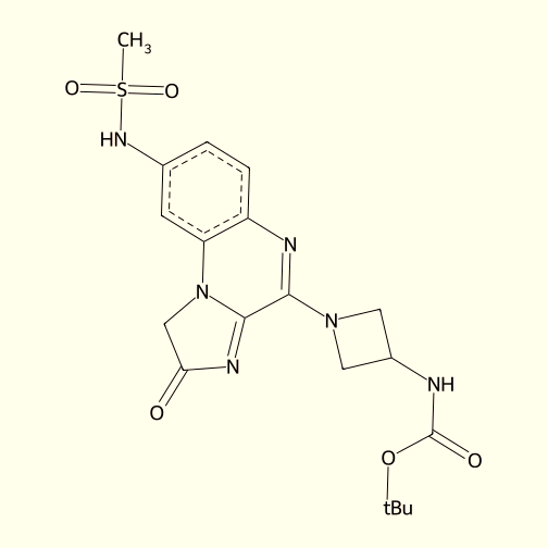 CC(C)(C)OC(=O)NC1CN(C2=Nc3ccc(NS(C)(=O)=O)cc3N3CC(=O)N=C23)C1